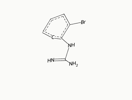 N=C(N)Nc1ccccc1Br